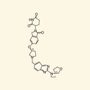 O=C1CCC(N2Cc3cc(O[C@H]4CCN(Cc5ccc6nc(N7CC[C@@]78CCOC8)ncc6c5)C4)ccc3C2=O)C(=O)N1